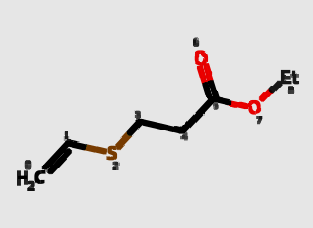 C=CSCCC(=O)OCC